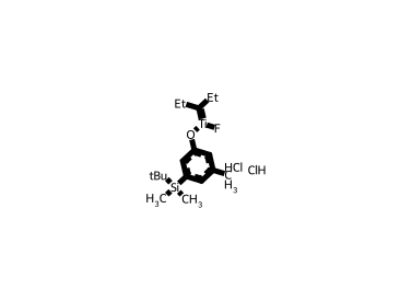 CC[C](CC)=[Ti]([F])[O]c1cc(C)cc([Si](C)(C)C(C)(C)C)c1.Cl.Cl